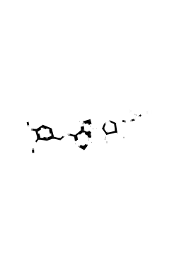 COc1ccc(CNc2ncnc3c2ncn3[C@@H]2O[C@H](COP(=O)(O)O)[C@@H](O)[C@H]2O)cc1OC